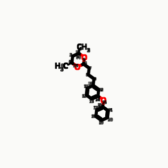 C[C@@H]1C[C@@H](C)OC(CCCc2cccc(Oc3ccccc3)c2)O1